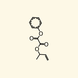 C=CC(C)OC(=O)C(=O)Oc1ccccc1